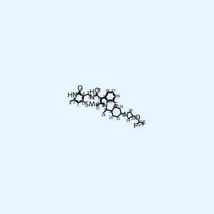 CSc1cc(C)[nH]c(=O)c1CNC(=O)c1c(C)n(C(C)C2CCC(N3CC(OC(F)F)C3)CC2)c2c(F)cccc12